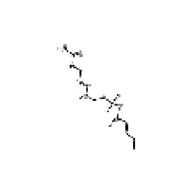 CC/C=C/C(=O)OC(C)(C)CCC(C)/C=C/CNC(N)=O